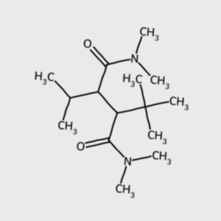 CC(C)C(C(=O)N(C)C)C(C(=O)N(C)C)C(C)(C)C